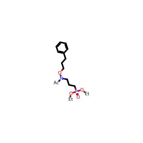 CCOP(=O)(CCCN(OCCCc1ccccc1)C(C)=O)OCC